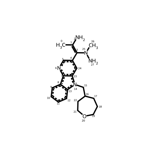 C/C(N)=C(\c1cnc2c3ccccc3n(CC3CCCOCC3)c2c1)N(C)N